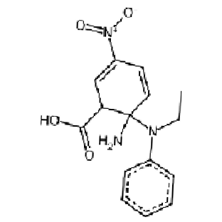 CCN(c1ccccc1)C1(N)C=CC([N+](=O)[O-])=CC1C(=O)O